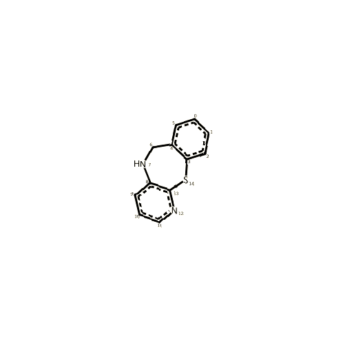 c1ccc2c(c1)CNc1cccnc1S2